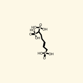 O=P(O)(O)CC=CCCC(P(=O)(O)O)P(=O)(O)O